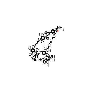 COc1ccc(C2=CN3C(=O)c4cc(OC)c(OCCCCCOc5cc6c(cc5OC)C(=O)N5CCC7(CC7)C[C@H]5[C@H](OC)N6C(=O)OCc5ccc(O[C@@H]6O[C@H](C(=O)O)[C@@H](O)[C@H](O)[C@H]6O)c(NC(=O)CCOCCOCCOCCOCCN)c5)cc4NC[C@@H]3C2)cc1